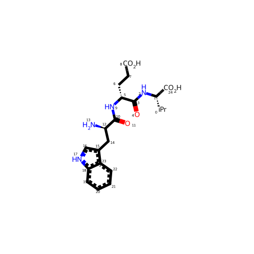 CC(C)[C@H](NC(=O)[C@@H](CCC(=O)O)NC(=O)[C@H](N)Cc1c[nH]c2ccccc12)C(=O)O